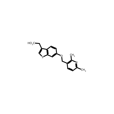 Cc1ccc(COc2ccc3c(CC(=O)O)csc3c2)c(C)n1